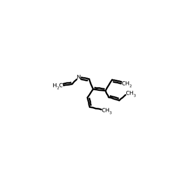 C=C\N=C/C(/C=C\C)=C(C=C)/C=C\C